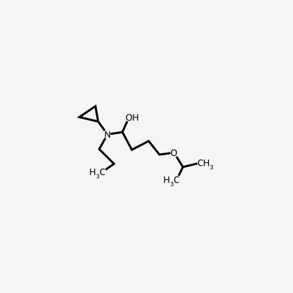 CCCN(C(O)CCCOC(C)C)C1CC1